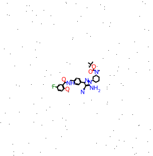 COc1ccc(F)cc1C(=O)NCc1ccc(-c2nn([C@@H]3CCC[C@H](N(C)C(=O)OC(C)(C)C)C3)c(N)c2C#N)cc1